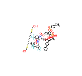 CCC(C(=O)O)c1ccc(-c2ccccc2)cc1.CCOC(=O)N1c2ccc(C(F)(F)F)cc2[C@@H](N(Cc2cc(C(F)(F)F)cc(C(F)(F)F)c2)C(=O)OC)C[C@H]1CC.Cc1ccc(S(=O)(=O)Oc2ccc(O)c(S(=O)(=O)O)c2)cc1.OCCSCCCCCCCCCCSCCO